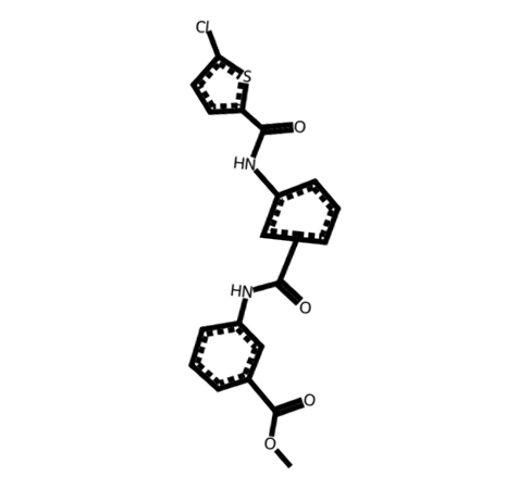 COC(=O)c1cccc(NC(=O)c2cccc(NC(=O)c3ccc(Cl)s3)c2)c1